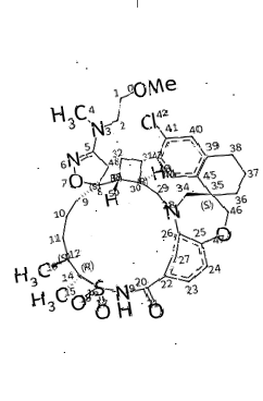 COCCN(C)C1=NO[C@@]2(CCC[C@H](C)[C@@H](C)S(=O)(=O)NC(=O)c3ccc4c(c3)N(C[C@@H]3CC[C@H]32)C[C@@]2(CCCc3cc(Cl)ccc32)CO4)C1